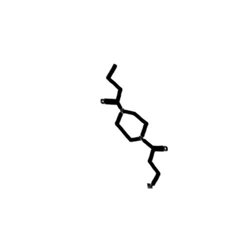 CCCC(=O)N1CCN(C(=O)CCBr)CC1